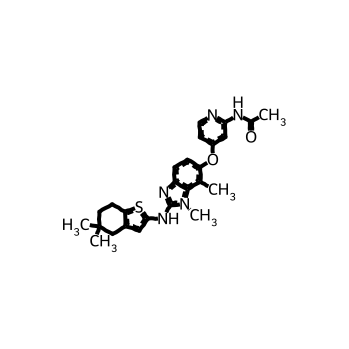 CC(=O)Nc1cc(Oc2ccc3nc(Nc4cc5c(s4)CCC(C)(C)C5)n(C)c3c2C)ccn1